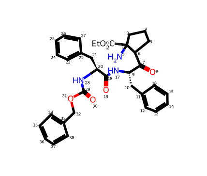 CCOC(=O)C1(N)CCCC1C(=O)[C@H](Cc1ccccc1)NC(=O)[C@H](Cc1ccccc1)NC(=O)OCc1ccccc1